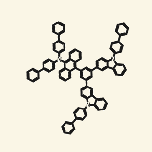 c1ccc(-c2ccc(N(c3ccc(-c4ccccc4)cc3)c3c4ccccc4c(-c4cc(-c5ccc6c(c5)c5ccccc5n6-c5ccc(-c6ccccc6)cc5)cc(-c5ccc6c(c5)c5ccccc5n6-c5ccc(-c6ccccc6)cc5)c4)c4ccccc34)cc2)cc1